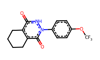 O=c1[nH]n(-c2ccc(OC(F)(F)F)cc2)c(=O)c2c1CCCC2